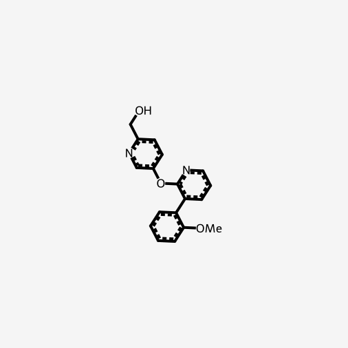 COc1ccccc1-c1cccnc1Oc1ccc(CO)nc1